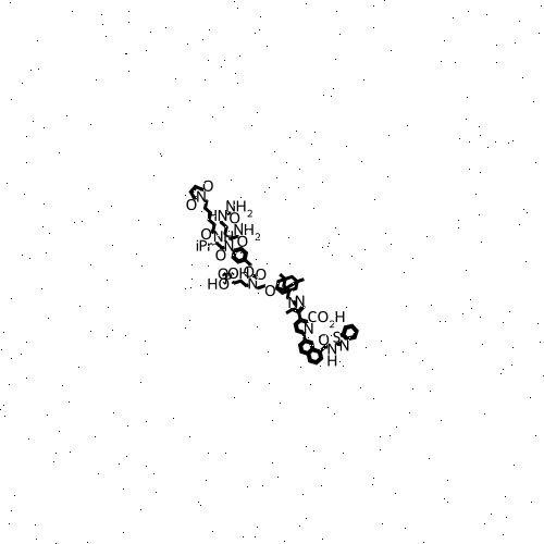 Cc1c(-c2ccc(-c3ccc4cccc(C(=O)Nc5nc6ccccc6s5)c4c3)nc2C(=O)O)cnn1CC12CC3(C)CC(C)(C1)CC(OCCN(CCCP(=O)(O)O)C(=O)OCc1ccc(N(C(=O)[C@@H](NC(=O)CCCCCN4C(=O)C=CC4=O)C(C)C)[C@@H](CCCNC(N)=O)C(N)=O)cc1)(C3)C2